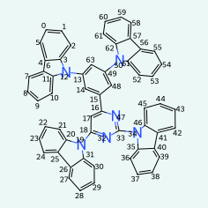 c1ccc2c(c1)c1ccccc1n2-c1cc(-c2cc(-n3c4ccccc4c4ccccc43)nc(-n3c4ccccc4c4ccccc43)n2)cc(-n2c3ccccc3c3ccccc32)c1